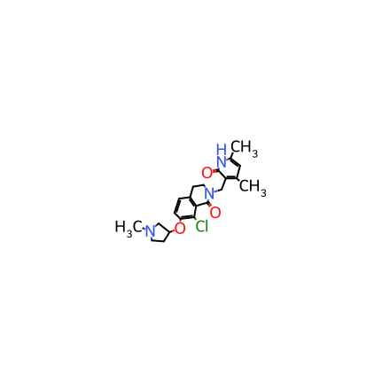 Cc1cc(C)c(CN2CCc3ccc(OC4CCN(C)C4)c(Cl)c3C2=O)c(=O)[nH]1